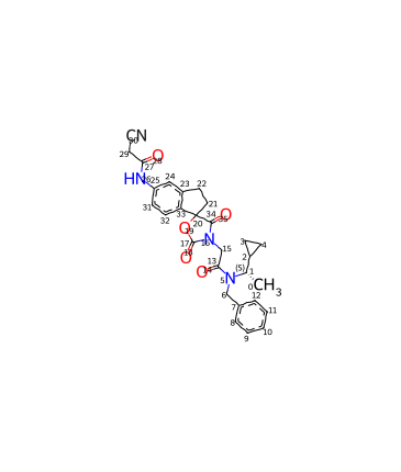 C[C@@H](C1CC1)N(Cc1ccccc1)C(=O)CN1C(=O)OC2(CCc3cc(NC(=O)CC#N)ccc32)C1=O